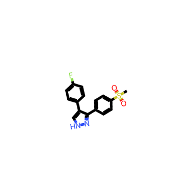 CS(=O)(=O)c1ccc(-c2n[nH]cc2-c2ccc(F)cc2)cc1